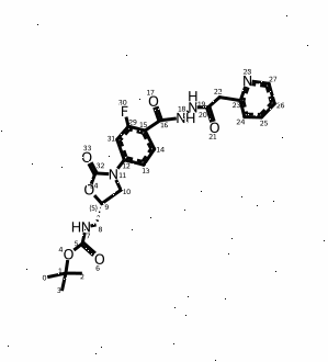 CC(C)(C)OC(=O)NC[C@H]1CN(c2ccc(C(=O)NNC(=O)Cc3ccccn3)c(F)c2)C(=O)O1